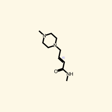 CNC(=O)/C=C/CN1CCN(C)CC1